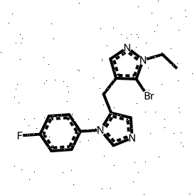 CCn1ncc(Cc2cncn2-c2[c]cc(F)cc2)c1Br